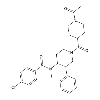 CC(=O)N1CCC(C(=O)N2CCC(N(C)C(=O)c3ccc(Cl)cc3)C(c3ccccc3)C2)CC1